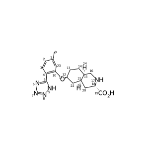 Cc1ccc(-c2nnn[nH]2)c(O[C@H]2CC[C@H]3CN[C@H](C(=O)O)C[C@H]3C2)c1